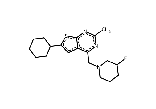 Cc1nc(CN2CCCC(F)C2)c2cc(C3CCCCC3)sc2n1